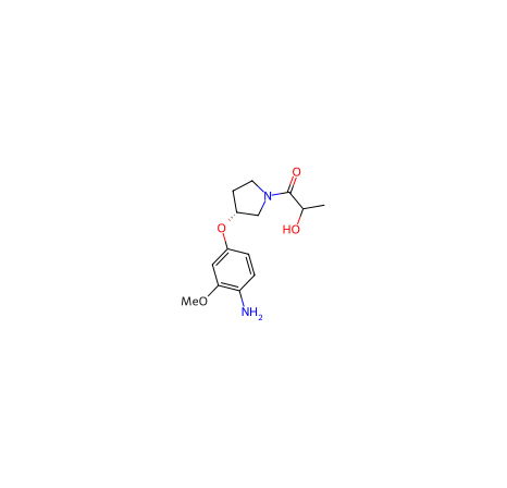 COc1cc(O[C@@H]2CCN(C(=O)C(C)O)C2)ccc1N